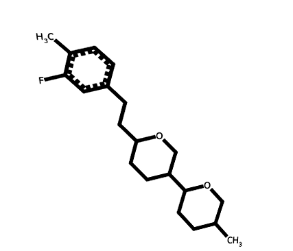 Cc1ccc(CCC2CCC(C3CCC(C)CO3)CO2)cc1F